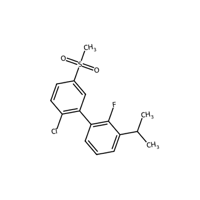 CC(C)c1cccc(-c2cc(S(C)(=O)=O)ccc2Cl)c1F